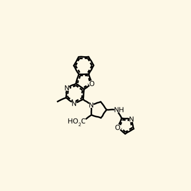 Cc1nc(N2CC(Nc3ncco3)CC2C(=O)O)c2oc3ccccc3c2n1